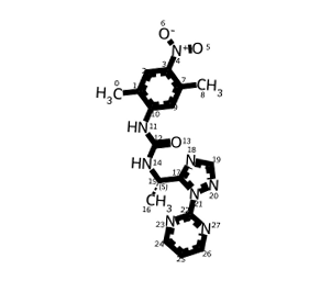 Cc1cc([N+](=O)[O-])c(C)cc1NC(=O)N[C@@H](C)c1ncnn1-c1ncccn1